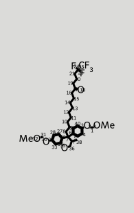 COCOc1ccc(C2(CCCCCCCCCC(=O)CCCC(F)(F)C(F)(F)F)c3ccc(OCOC)cc3OCC2C)cc1